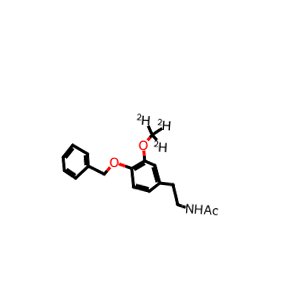 [2H]C([2H])([2H])Oc1cc(CCNC(C)=O)ccc1OCc1ccccc1